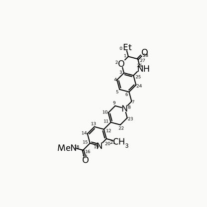 CCC1Oc2ccc(CN3CC=C(c4ccc(C(=O)NC)nc4C)CC3)cc2NC1=O